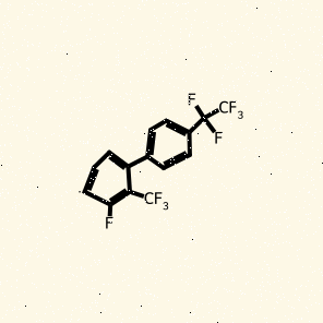 Fc1[c]ccc(-c2ccc(C(F)(F)C(F)(F)F)cc2)c1C(F)(F)F